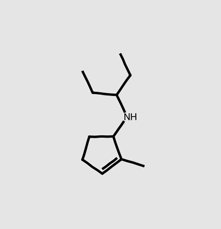 CCC(CC)NC1CCC=C1C